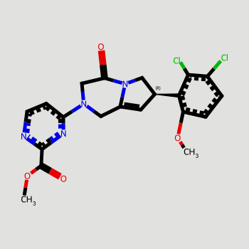 COC(=O)c1nccc(N2CC(=O)N3C[C@@H](c4c(OC)ccc(Cl)c4Cl)C=C3C2)n1